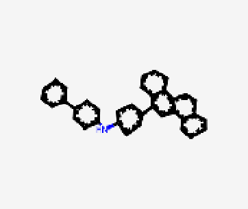 c1ccc(-c2ccc(Nc3ccc(-c4cc5c6ccccc6ccc5c5ccccc45)cc3)cc2)cc1